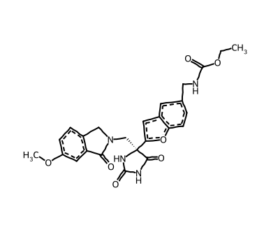 CCOC(=O)NCc1ccc2oc([C@]3(CN4Cc5ccc(OC)cc5C4=O)NC(=O)NC3=O)cc2c1